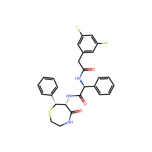 O=C(Cc1cc(F)cc(F)c1)N[C@H](C(=O)N[C@@H]1C(=O)NCCS[C@@H]1c1ccccc1)c1ccccc1